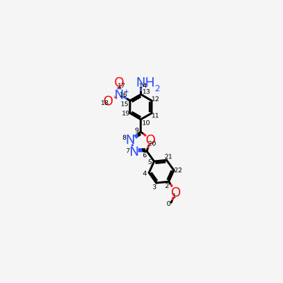 COc1ccc(-c2nnc(-c3ccc(N)c([N+](=O)[O-])c3)o2)cc1